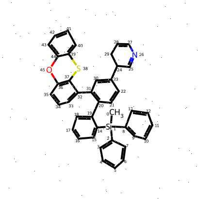 C[Si](c1ccccc1)(c1ccccc1)c1ccccc1-c1ccc(C2C=NC=CC2)cc1-c1cccc2c1Sc1ccccc1O2